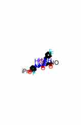 CC(C)Oc1ccc(NCNC(=O)N(CCC(=O)N=O)C(=O)NCC2CCC(F)(F)CC2)cc1F